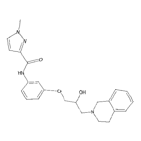 Cn1ccc(C(=O)Nc2cccc(OCC(O)CN3CCc4ccccc4C3)c2)n1